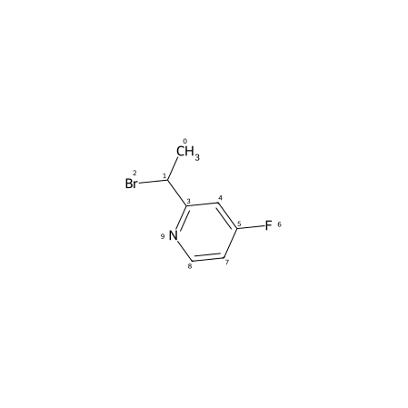 CC(Br)c1cc(F)ccn1